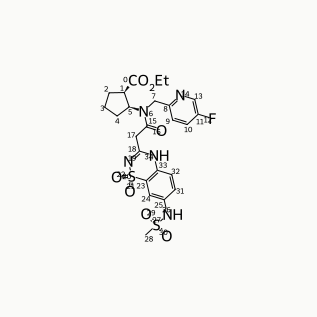 CCOC(=O)[C@@H]1CCC[C@@H]1N(Cc1ccc(F)cn1)C(=O)CC1=NS(=O)(=O)c2cc(NS(C)(=O)=O)ccc2N1